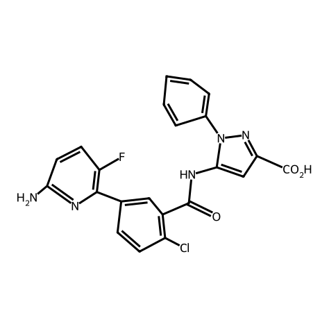 Nc1ccc(F)c(-c2ccc(Cl)c(C(=O)Nc3cc(C(=O)O)nn3-c3ccccc3)c2)n1